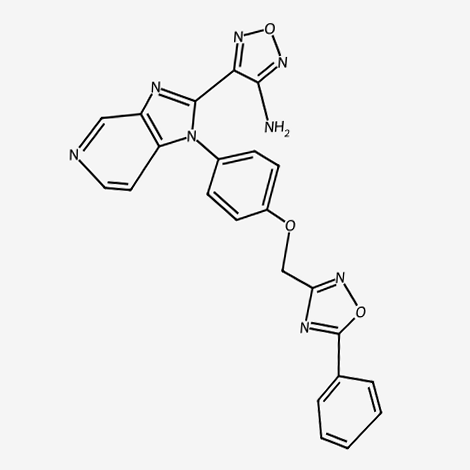 Nc1nonc1-c1nc2cnccc2n1-c1ccc(OCc2noc(-c3ccccc3)n2)cc1